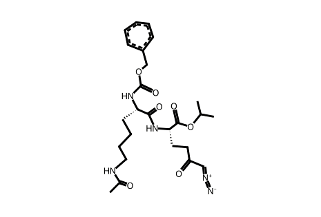 CC(=O)NCCCC[C@H](NC(=O)OCc1ccccc1)C(=O)N[C@@H](CCC(=O)C=[N+]=[N-])C(=O)OC(C)C